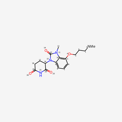 CNCCCOc1cccc2c1n(C)c(=O)n2C1CCC(=O)NC1=O